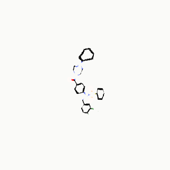 O=C(c1ccc(N(Cc2ccc(Cl)c(Cl)c2)S(=O)(=O)c2ccccc2)cc1)N1CCN(c2ccccc2)CC1